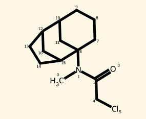 CN(C(=O)CCl)C12CCCC(C1)C1CCC2C1